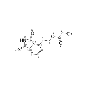 O=C(CCl)OCCc1cccc2c1C(=O)NC2=S